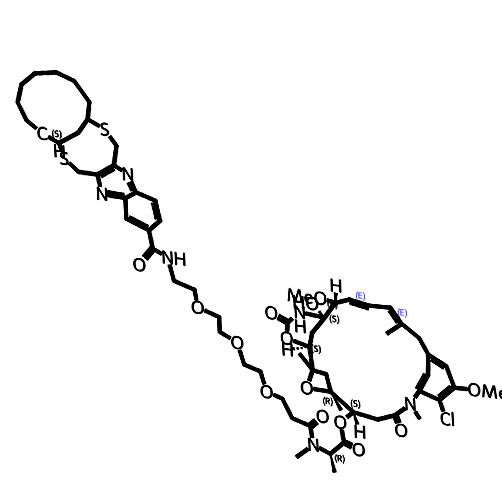 COc1cc2cc(c1Cl)N(C)C(=O)C[C@H](OC(=O)[C@@H](C)N(C)C(=O)CCOCCOCCOCCNC(=O)c1ccc3nc4c(nc3c1)CS[C@H]1CCCCCCCCC(C1)SC4)[C@@]1(C)CC(C)(O1)[C@@H]1C[C@@](O)(NC(=O)O1)[C@H](OC)/C=C/C=C(\C)C2